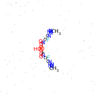 Cn1nnc(-c2ccc(-c3ccc(N4CC(COP(=O)(O)OC[C@H]5CN(c6ccc(-c7ccc(-c8nnn(C)n8)nc7)c(F)c6)C(=O)O5)OC4=O)cc3F)cn2)n1